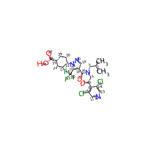 CC(C)CN(CC(=O)c1c(Cl)cncc1Cl)C(=O)c1cnn(C2CCC(C(=O)O)CC2)c1C(F)(F)F